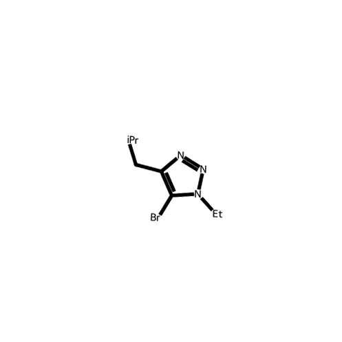 CCn1nnc(CC(C)C)c1Br